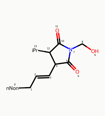 CCCCCCCCCCC=CC1C(=O)N(CO)C(=O)C1C(C)C